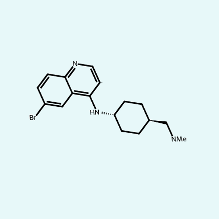 CNC[C@H]1CC[C@H](Nc2[c]cnc3ccc(Br)cc23)CC1